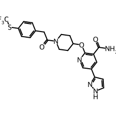 NC(=O)c1cc(-c2cc[nH]n2)cnc1OC1CCN(C(=O)Cc2ccc(SC(F)(F)F)cc2)CC1